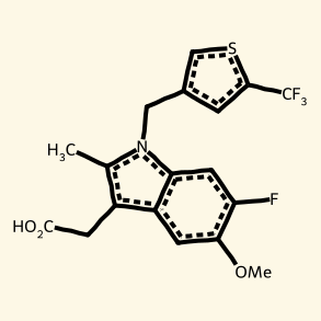 COc1cc2c(CC(=O)O)c(C)n(Cc3csc(C(F)(F)F)c3)c2cc1F